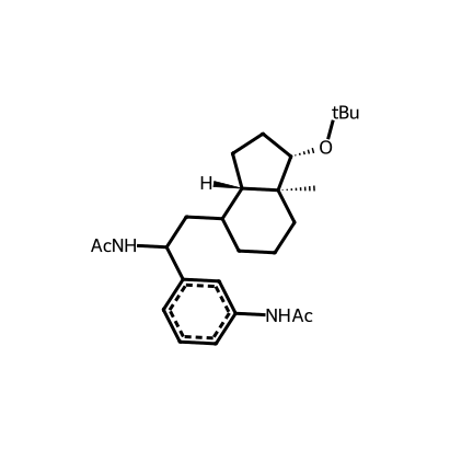 CC(=O)Nc1cccc(C(CC2CCC[C@]3(C)[C@@H](OC(C)(C)C)CC[C@@H]23)NC(C)=O)c1